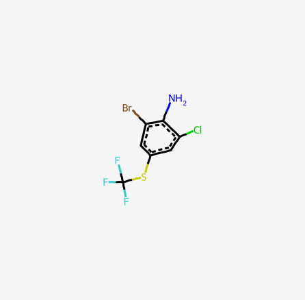 Nc1c(Cl)cc(SC(F)(F)F)cc1Br